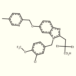 CCC(CC)(Cc1nc2ccc(OCc3ccc(C)cn3)cc2n1Cc1ccc(OC(F)(F)F)c(Cl)c1)C(=O)O